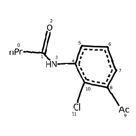 CCCC(=O)Nc1cccc(C(C)=O)c1Cl